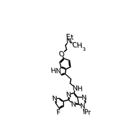 CCN(C)CCOc1ccc2c(CCNc3nc(-c4cncc(F)c4)nc4c3ncn4C(C)C)c[nH]c2c1